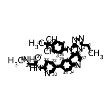 CCc1nnc2n(-c3ccc(C(C)(C)C)cc3)c3c4cc(-c5ccc(NC(=O)CNC)nc5)ccc4ncc3n12